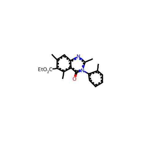 CCOC(=O)c1c(C)cc2nc(C)n(-c3ccccc3C)c(=O)c2c1C